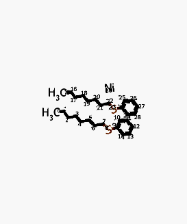 CCCCCCCCSc1ccccc1.CCCCCCCCSc1ccccc1.[Ni]